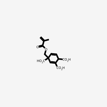 C=C(C)C(=O)OCC1(C(=O)O)C=CC(C(=O)O)C(C(=O)O)=C1